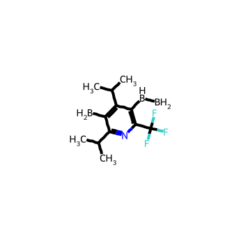 BBc1c(C(F)(F)F)nc(C(C)C)c(B)c1C(C)C